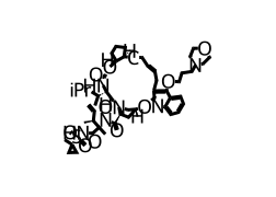 C=C[C@H](C)C(C)(NC(=O)[C@@H]1C[C@@H]2CN1C(=O)[C@H](C(C)C(C)C)NC(=O)O[C@@H]1CCC[C@H]1CC/C=C/Cc1c(nc3ccccc3c1OCCCN1CCOCC1)O2)C(=O)NS(=O)(=O)C1(C)CC1